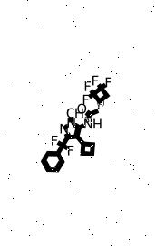 Cn1nc(C(F)(F)c2ccccc2)c(C2CCC2)c1NC(=O)C[C@H]1CC(F)(F)C1(F)F